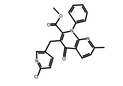 COC(=O)c1c(Cc2ccc(Cl)nc2)c(=O)c2ccc(C)nc2n1-c1ccccc1